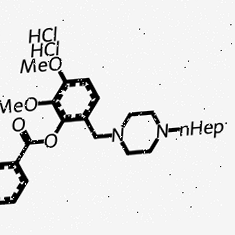 CCCCCCCN1CCN(Cc2ccc(OC)c(OC)c2OC(=O)c2ccccc2)CC1.Cl.Cl